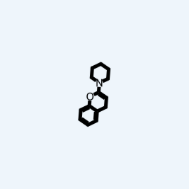 C1=C(N2CCCCC2)Oc2ccccc2C1